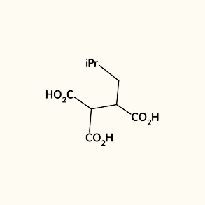 CC(C)CC(C(=O)O)C(C(=O)O)C(=O)O